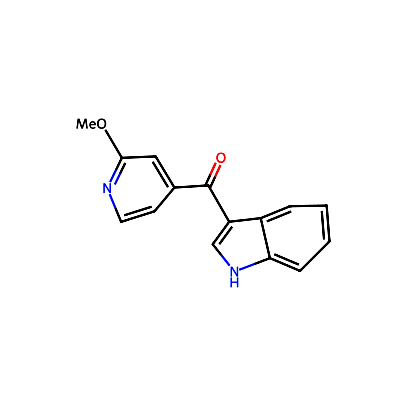 COc1cc(C(=O)c2c[nH]c3ccccc23)ccn1